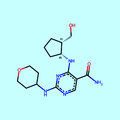 NC(=O)c1cnc(NC2CCOCC2)nc1N[C@@H]1CCC[C@@H]1CO